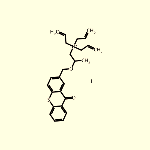 C=CC[N+](CC=C)(CC=C)CC(C)OCc1ccc2sc3ccccc3c(=O)c2c1.[I-]